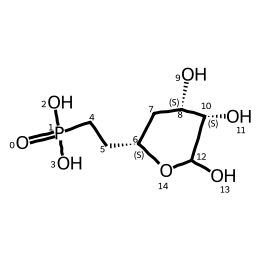 O=P(O)(O)CC[C@@H]1C[C@H](O)[C@H](O)C(O)O1